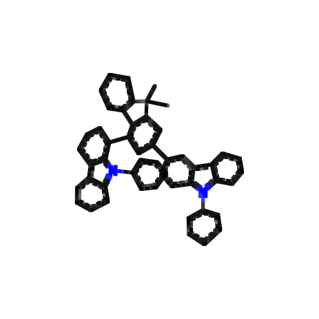 CC1(C)c2ccccc2-c2c(-c3cccc4c5ccccc5n(-c5ccccc5)c34)cc(-c3ccc4c(c3)c3ccccc3n4-c3ccccc3)cc21